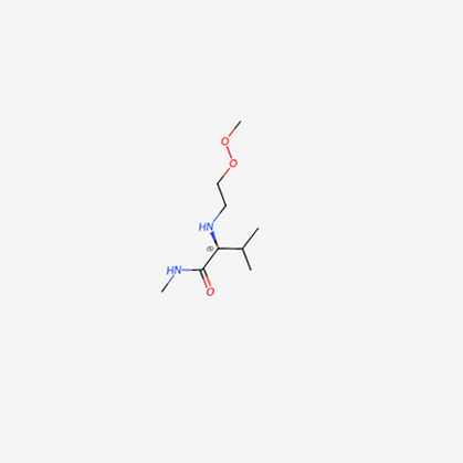 CNC(=O)[C@@H](NCCOOC)C(C)C